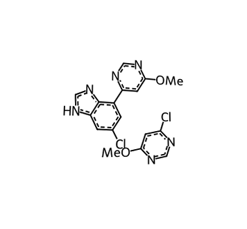 COc1cc(-c2cc(Cl)cc3[nH]cnc23)ncn1.COc1cc(Cl)ncn1